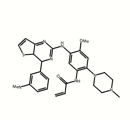 C=CC(=O)Nc1cc(NC2=NC(c3cccc(NC)c3)C3SC=CC3=N2)c(OC)cc1N1CCN(C)CC1